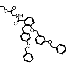 CCOC(=O)CNC(=O)c1cccc(OCc2cccc(OCc3ccccc3)c2)c1Cc1ccc(OCc2ccccc2)cc1